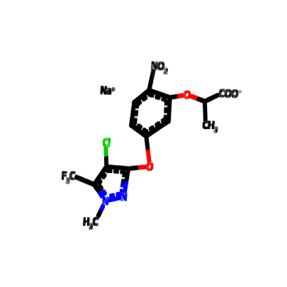 CC(Oc1cc(Oc2nn(C)c(C(F)(F)F)c2Cl)ccc1[N+](=O)[O-])C(=O)[O-].[Na+]